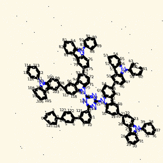 c1ccc(-c2ccc(-c3cccc(-c4nc(-n5c6ccc(-c7ccc8c(c7)c7ccccc7n8-c7ccccc7)cc6c6cc(-c7ccc8c(c7)c7ccccc7n8-c7ccccc7)ccc65)nc(-n5c6ccc(-c7ccc8c(c7)c7ccccc7n8-c7ccccc7)cc6c6cc(-c7ccc8c(c7)c7ccccc7n8-c7ccccc7)ccc65)n4)c3)cc2)cc1